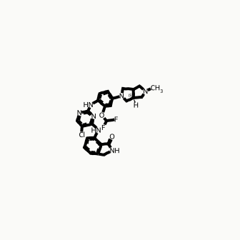 CN1CC2CN(c3ccc(Nc4ncc(Cl)c(Nc5cccc6c5C(=O)NC6)n4)c(OC(F)F)c3)C[C@@H]2C1